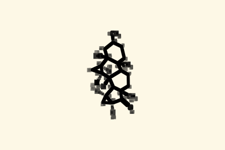 C[C@H]1CC[C@]2(C)C3CC[C@]4(C)C(=O)[C@H]5C[C@H]5C4[C@@H]3[C@H]3C[C@H]3[C@]2(O)C1